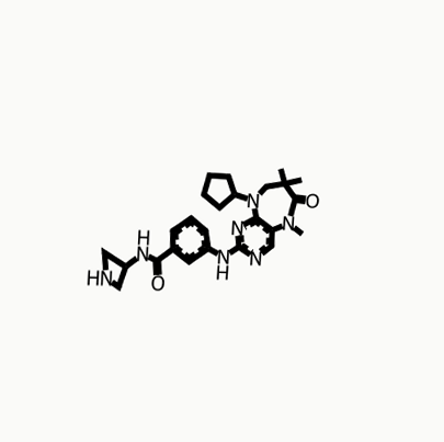 CN1C(=O)C(C)(C)CN(C2CCCC2)c2nc(Nc3cccc(C(=O)NC4CNC4)c3)ncc21